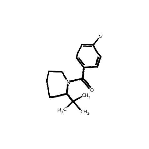 CC(C)(C)C1CCCCN1C(=O)c1ccc(Cl)cc1